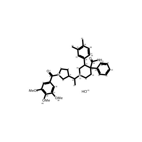 COc1cc(C(=O)N2CCC(C(C)N3CCC(C(N)=O)(c4ccccc4)C(c4ccc(C)c(C)c4)C3)C2)cc(OC)c1OC.Cl